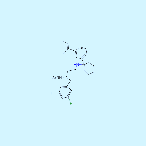 C/C=C(\C)c1cccc(C2(NCC[C@H](Cc3cc(F)cc(F)c3)NC(C)=O)CCCCC2)c1